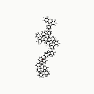 c1ccc(-c2ccccc2N(c2ccc(-c3ccc4oc5c(-c6ccc7c(c6)-c6ccccc6C76c7ccccc7-c7c(N(c8ccc(-c9ccc%10c(c9)c9ccccc9n%10-c9ccccc9)cc8)c8ccc9c(c8)C(c8ccccc8)(c8ccccc8)c8ccccc8-9)cccc76)cccc5c4c3)cc2)c2cccc3c2-c2ccccc2C32c3ccccc3-c3ccccc32)cc1